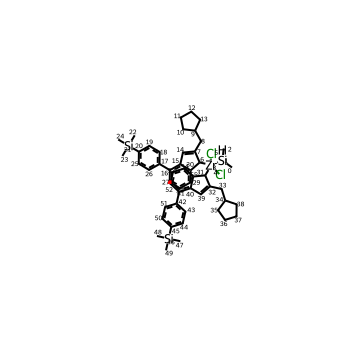 C[SiH](C)[Zr]([Cl])([Cl])([CH]1C(CC2CCCC2)=Cc2c(-c3ccc([Si](C)(C)C)cc3)cccc21)[CH]1C(CC2CCCC2)=Cc2c(-c3ccc([Si](C)(C)C)cc3)cccc21